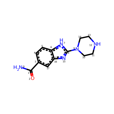 NC(=O)c1ccc2[nH]c(N3CCNCC3)nc2c1